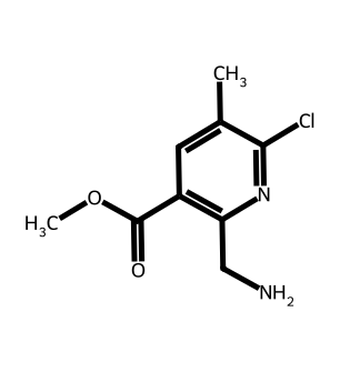 COC(=O)c1cc(C)c(Cl)nc1CN